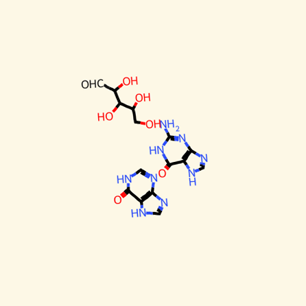 Nc1nc2nc[nH]c2c(=O)[nH]1.O=CC(O)C(O)C(O)CO.O=c1[nH]cnc2nc[nH]c12